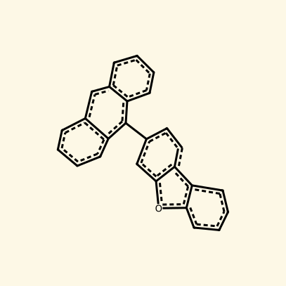 c1ccc2c(-c3ccc4c(c3)oc3ccccc34)c3ccccc3cc2c1